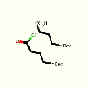 CCCCCCCCCCCCCC(=O)Cl.CCCCCCCCCCCCCC(=O)O